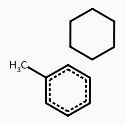 C1CCCCC1.Cc1ccccc1